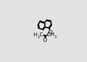 CC(C)=O.Clc1cccc2ccccc12